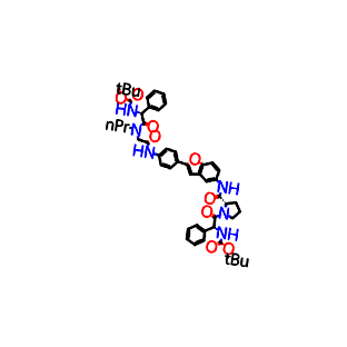 CCCN(CC(=O)Nc1ccc(-c2cc3cc(NC(=O)[C@@H]4CCCN4C(=O)[C@@H](NC(=O)OC(C)(C)C)c4ccccc4)ccc3o2)cc1)C(=O)[C@@H](NC(=O)OC(C)(C)C)c1ccccc1